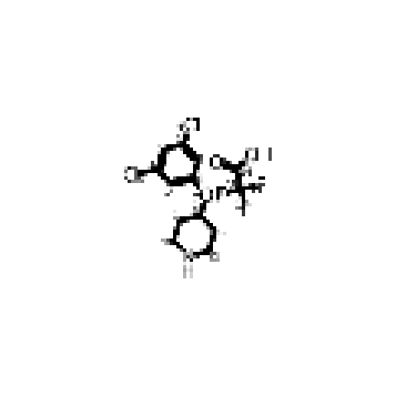 Clc1cc(Cl)cc(OC2CCNCC2)c1.O=C(O)C(F)(F)F